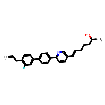 C=CCc1ccc(-c2ccc(-c3ccc(/C=C/CCCC(C)O)cn3)cc2)cc1F